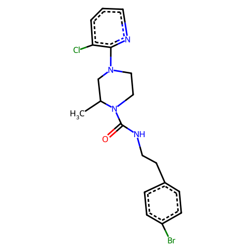 CC1CN(c2ncccc2Cl)CCN1C(=O)NCCc1ccc(Br)cc1